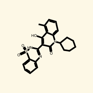 Cc1cccc2c1c(O)c(C1=Nc3ccccc3S(=O)(=O)N1)c(=O)n2C1CCCCC1